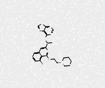 Cc1cccc2cc(C(C)Nc3ncnc4[nH]cnc34)nc(NCCN3CCCCC3)c12